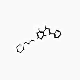 O=c1cc(-c2ccccc2)oc2cc(OCCCN3CCCCC3)cc(O)c12